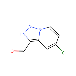 O=CC1=C2C=C(Cl)C=CN2NN1